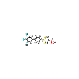 COCC1CSC(c2ccc(-c3cc(F)c(F)c(F)c3)cc2)SC1